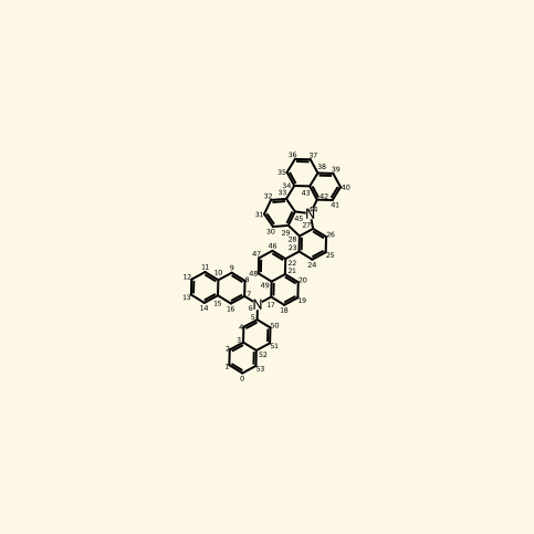 c1ccc2cc(N(c3ccc4ccccc4c3)c3cccc4c(-c5cccc6c5c5cccc7c8cccc9cccc(c98)n6c75)cccc34)ccc2c1